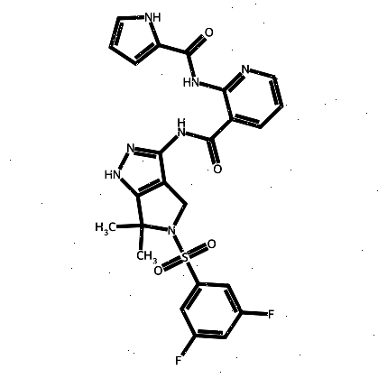 CC1(C)c2[nH]nc(NC(=O)c3cccnc3NC(=O)c3ccc[nH]3)c2CN1S(=O)(=O)c1cc(F)cc(F)c1